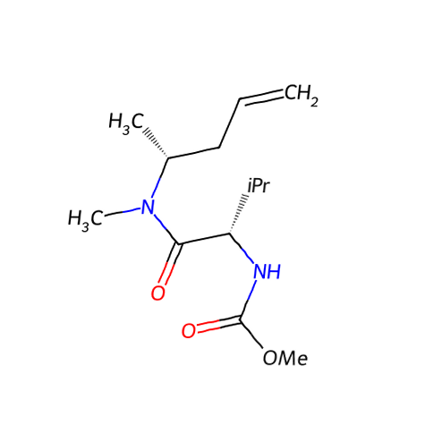 C=CC[C@@H](C)N(C)C(=O)[C@@H](NC(=O)OC)C(C)C